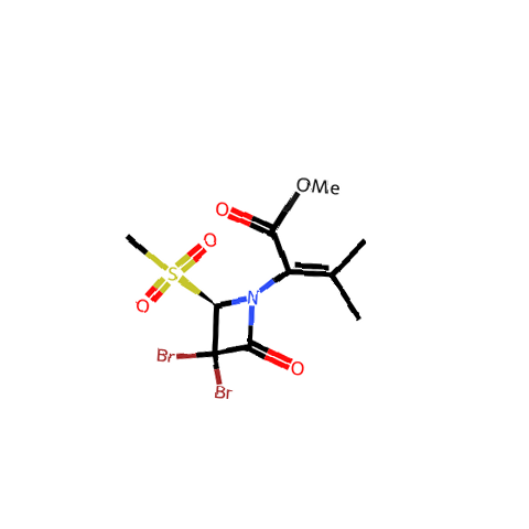 COC(=O)C(=C(C)C)N1C(=O)C(Br)(Br)[C@H]1S(C)(=O)=O